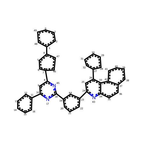 c1ccc(-c2ccc(-c3cc(-c4ccccc4)nc(-c4cccc(-c5cc(-c6ccccc6)c6c(ccc7ccccc76)n5)c4)n3)cc2)cc1